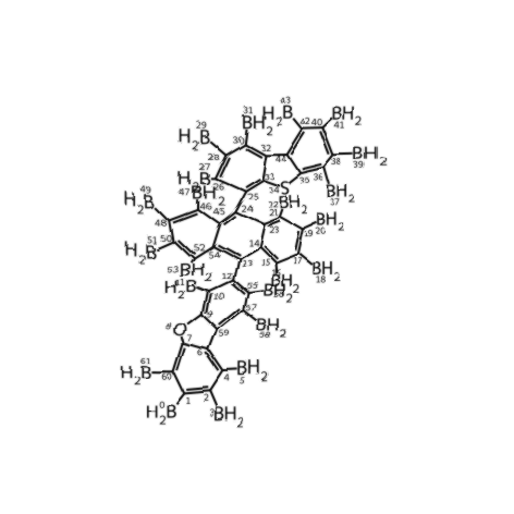 Bc1c(B)c(B)c2c(oc3c(B)c(-c4c5c(B)c(B)c(B)c(B)c5c(-c5c(B)c(B)c(B)c6c5sc5c(B)c(B)c(B)c(B)c56)c5c(B)c(B)c(B)c(B)c45)c(B)c(B)c32)c1B